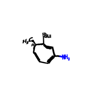 C[C@@H]1C=CC=C(N)C=C1C(C)(C)C